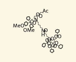 COc1ccc(C(OC[C@@H]2C[C@@H](OC(=O)CCC(C)=O)CN2C(=O)CCCCCNC(=O)CCCCO[C@H]2OC(COC(=O)c3ccccc3)[C@@H](OC(=O)c3ccccc3)[C@H](OC(=O)c3ccccc3)C2OC(=O)c2ccccc2)(c2ccccc2)c2ccc(OC)cc2)cc1